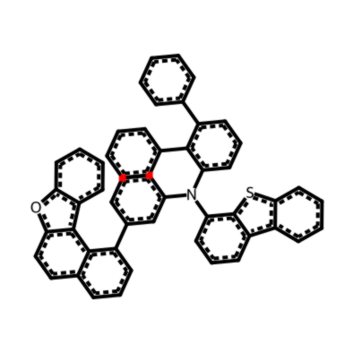 c1ccc(-c2cccc(N(c3cccc(-c4cccc5ccc6oc7ccccc7c6c45)c3)c3cccc4c3sc3ccccc34)c2-c2ccccc2)cc1